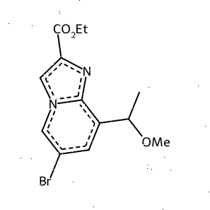 CCOC(=O)c1cn2cc(Br)cc(C(C)OC)c2n1